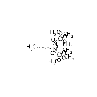 CCCCCCCCC1CN(C(=O)c2cc(OC)c(OC)c(OC)c2)CCN1C(=O)c1cc(OC)c(OC)c(OC)c1